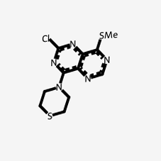 CSc1ncnc2c(N3CCSCC3)nc(Cl)nc12